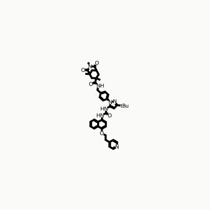 CN1C(=O)C2CC(C)(C(=O)NCc3ccc(-n4nc(C(C)(C)C)cc4NC(=O)Nc4ccc(OCCc5ccncc5)c5ccccc45)cc3)CC(C)(C2)C1=O